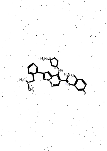 CN(C)Cc1ccccc1-c1cc2c(N[C@@H]3CC[C@H](N)C3)c(/C(N)=N/c3cc(F)ccc3Cl)cnn2c1